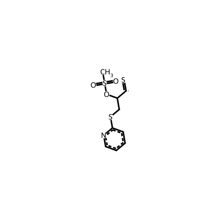 CS(=O)(=O)OC([C]=S)CSc1ccccn1